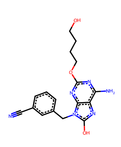 N#Cc1cccc(Cn2c(O)nc3c(N)nc(OCCCCO)nc32)c1